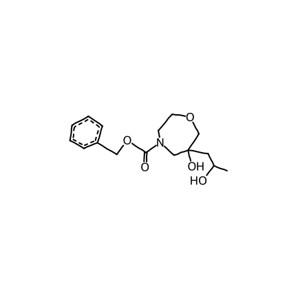 CC(O)CC1(O)COCCN(C(=O)OCc2ccccc2)C1